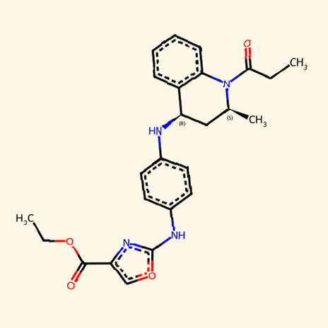 CCOC(=O)c1coc(Nc2ccc(N[C@@H]3C[C@H](C)N(C(=O)CC)c4ccccc43)cc2)n1